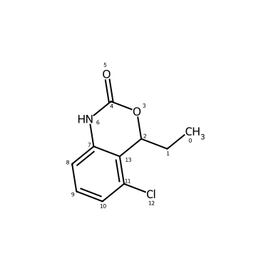 CCC1OC(=O)Nc2cccc(Cl)c21